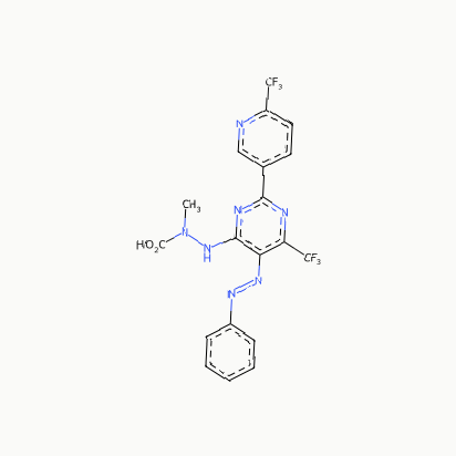 CN(Nc1nc(-c2ccc(C(F)(F)F)nc2)nc(C(F)(F)F)c1N=Nc1ccccc1)C(=O)O